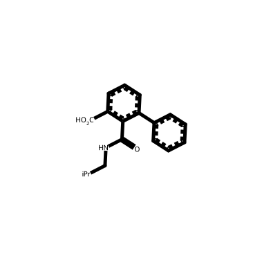 CC(C)CNC(=O)c1c(C(=O)O)cccc1-c1ccccc1